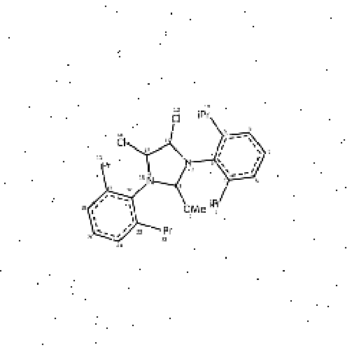 COC1N(c2c(C(C)C)cccc2C(C)C)C(Cl)C(Cl)N1c1c(C(C)C)cccc1C(C)C